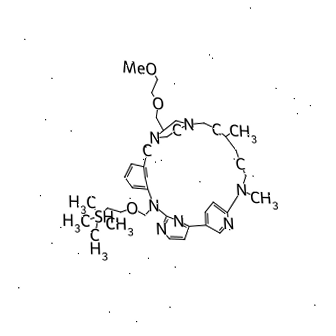 COCCOCC1CN2CCC(C)CCCN(C)c3ccc(cn3)-c3ccnc(n3)N(COCC[SH](C)(C)(C)C)c3cccc(c3)CN1CC2